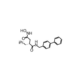 CC(C)C[C@H](CC(=O)NO)C(=O)NCc1ccc(-c2ccccc2)cc1